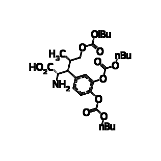 CCCCOC(=O)Oc1ccc(C(C(C)COC(=O)OCC(C)C)[C@H](N)C(=O)O)cc1OC(=O)OCCCC